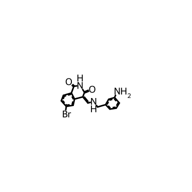 Nc1cccc(CNC=C2C(=O)NC(=O)c3ccc(Br)cc32)c1